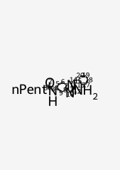 CCCCCC(=O)Nc1ccc2c(c1)nc(N)n2Cc1ccccc1